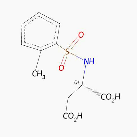 Cc1ccccc1S(=O)(=O)N[C@@H](CC(=O)O)C(=O)O